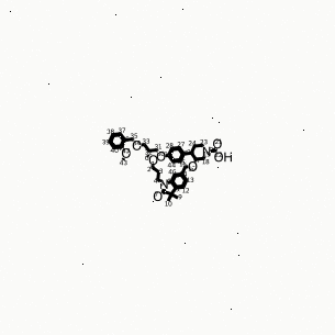 COCCCN1C(=O)C(C)(C)c2ccc(COC3CN(C(=O)O)CCC3c3ccc(OCCCOCc4ccccc4OC)cc3)cc21